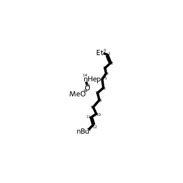 CC/C=C\CCCCCCCC/C=C/CCCC.CCCCCCCOOC